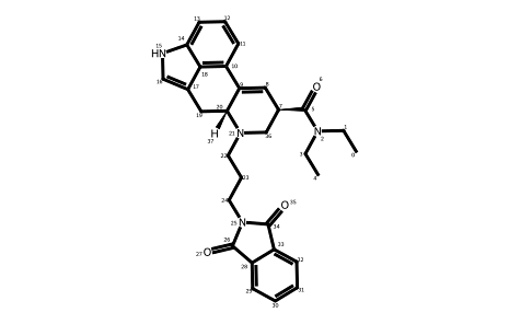 CCN(CC)C(=O)[C@@H]1C=C2c3cccc4[nH]cc(c34)C[C@H]2N(CCCN2C(=O)c3ccccc3C2=O)C1